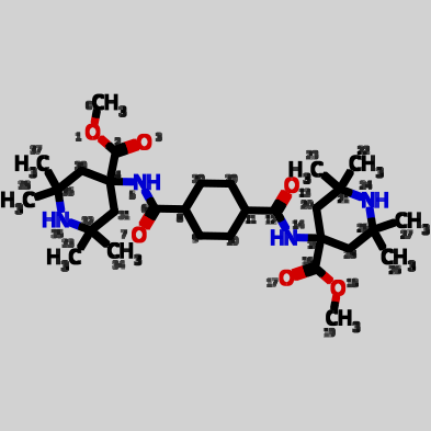 COC(=O)C1(NC(=O)C2CCC(C(=O)NC3(C(=O)OC)CC(C)(C)NC(C)(C)C3)CC2)CC(C)(C)NC(C)(C)C1